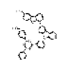 CCCCc1ccc(-c2nc(-c3ccccc3)nc(-c3cccc(-n4c5ccccc5c5cc(-c6cccc7c6oc6ccc(CCCC)cc67)ccc54)c3)n2)cc1